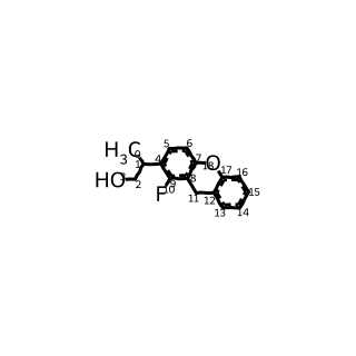 CC(CO)c1ccc2c(c1F)Cc1ccccc1O2